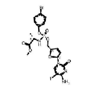 COC(=O)[C@H](C)NP(=O)(OC[C@H]1C=C[C@@H](n2cc(F)c(N)nc2=O)O1)Oc1ccc(Br)cc1